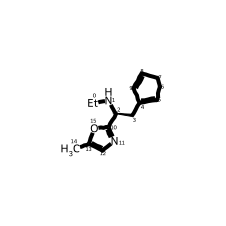 CCN[C@@H](CC1=CCCC=C1)c1ncc(C)o1